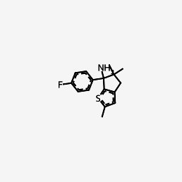 Cc1cc2c(s1)C(N)(c1ccc(F)cc1)C(C)(C)C2